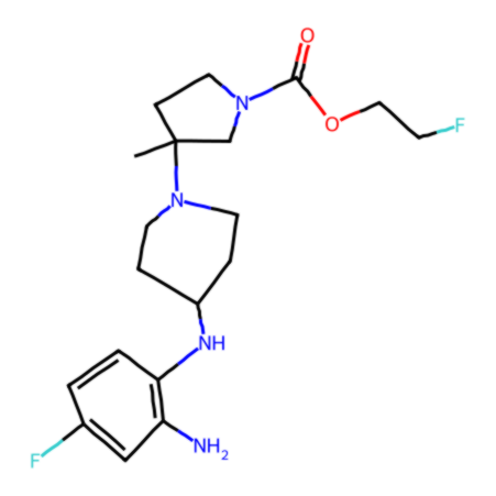 CC1(N2CCC(Nc3ccc(F)cc3N)CC2)CCN(C(=O)OCCF)C1